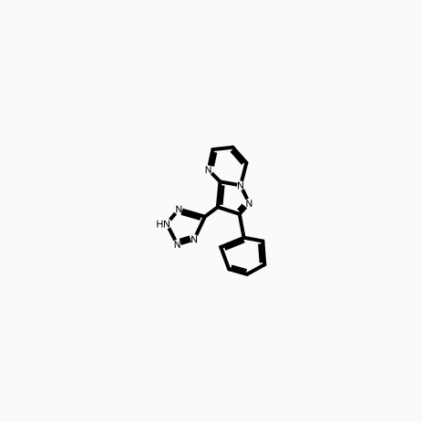 c1ccc(-c2nn3cccnc3c2-c2nn[nH]n2)cc1